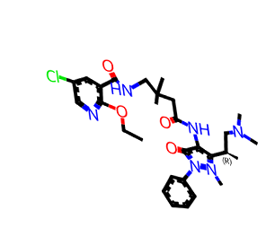 CCOc1ncc(Cl)cc1C(=O)NCC(C)(C)CC(=O)Nc1c([C@H](C)CN(C)C)n(C)n(-c2ccccc2)c1=O